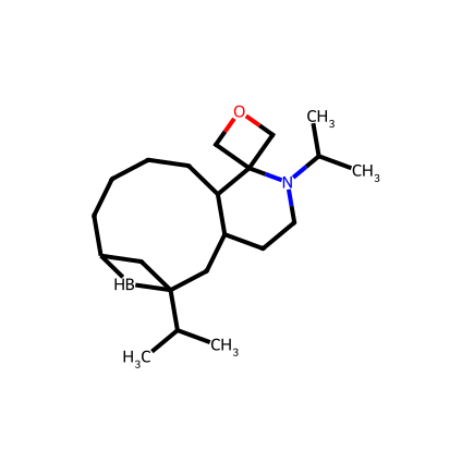 CC(C)N1CCC2CC3(C(C)C)BC(CCCCC2C12COC2)C3